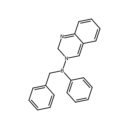 C1=c2ccccc2=NCN1B(Cc1ccccc1)c1ccccc1